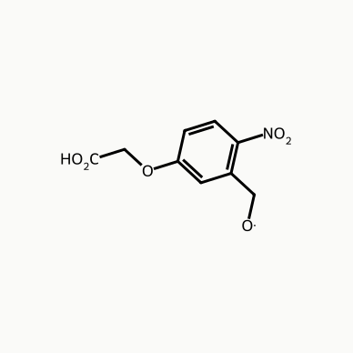 [O]Cc1cc(OCC(=O)O)ccc1[N+](=O)[O-]